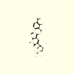 C[C@@H](Nc1ncnc2c1cc(C1(C#N)CCN(S(C)(=O)=O)C1)c(=O)n2C)c1cccc(C(F)F)c1F